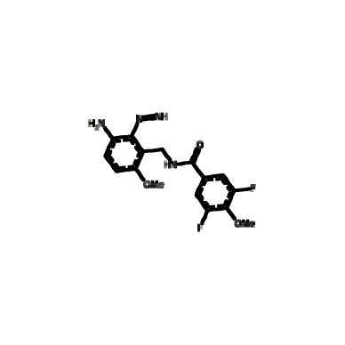 COc1ccc(N)c(N=N)c1CNC(=O)c1cc(F)c(OC)c(F)c1